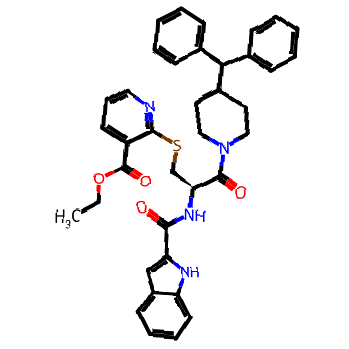 CCOC(=O)c1cccnc1SC[C@H](NC(=O)c1cc2ccccc2[nH]1)C(=O)N1CCC(C(c2ccccc2)c2ccccc2)CC1